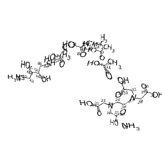 C=C.CC(=O)O.CC(=O)O.CC(=O)O.CC(=O)O.N.N.O=C(O)CN(CCN(CC(=O)O)CC(=O)O)CC(=O)O.O[C@H](CS)[C@H](O)CS